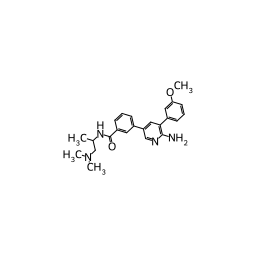 COc1cccc(-c2cc(-c3cccc(C(=O)NC(C)CN(C)C)c3)cnc2N)c1